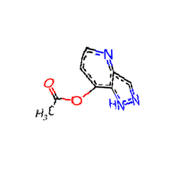 CC(=O)Oc1ccnc2cn[nH]c12